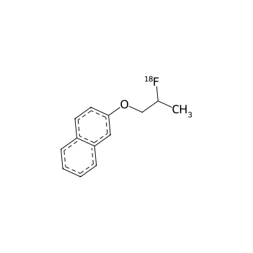 CC([18F])COc1ccc2ccccc2c1